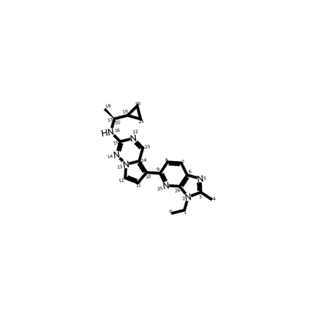 CCn1c(C)nc2ccc(-c3ccn4nc(N[C@@H](C)C5CC5)ncc34)nc21